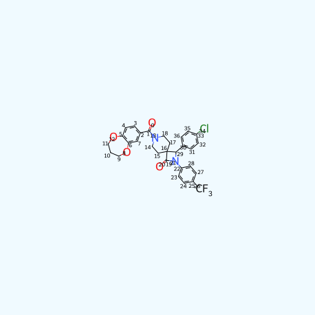 O=C(c1ccc2c(c1)OCCCO2)N1CCC2(CC1)C(=O)N(c1ccc(C(F)(F)F)cc1)C2c1ccc(Cl)cc1